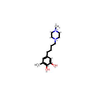 [CH2]c1cc(CCCCN2CCN(C)CC2)cc(O)c1O